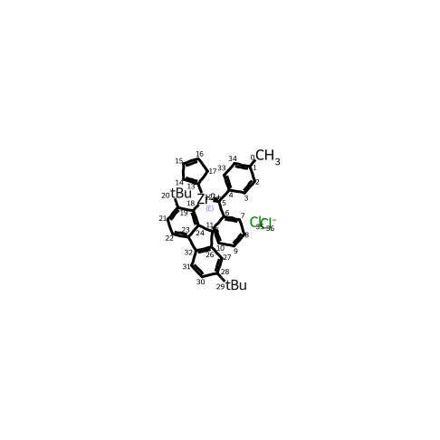 Cc1ccc(/[C](c2ccccc2)=[Zr+2](\[C]2=CC=CC2)[c]2c(C(C)(C)C)ccc3c2Cc2cc(C(C)(C)C)ccc2-3)cc1.[Cl-].[Cl-]